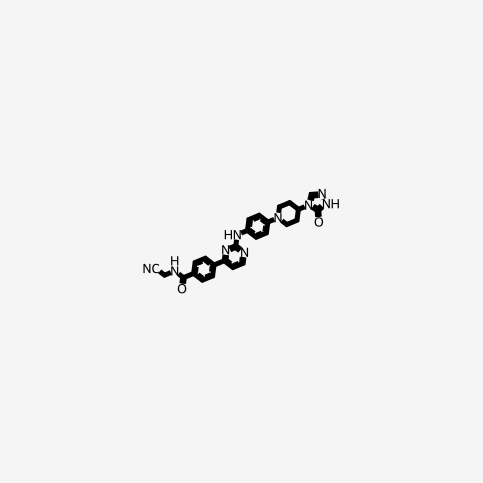 N#CCNC(=O)c1ccc(-c2ccnc(Nc3ccc(N4CCC(n5cn[nH]c5=O)CC4)cc3)n2)cc1